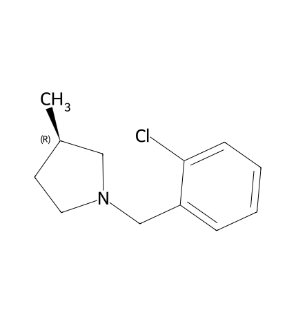 C[C@@H]1CCN(Cc2ccccc2Cl)C1